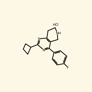 Cl.Fc1ccc(-c2nc(C3CCC3)nc3c2CNCC3)cc1